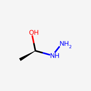 C[C@@H](O)NN